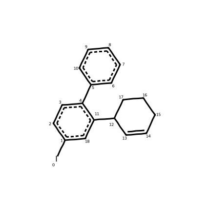 Ic1ccc(-c2ccccc2)c(C2C=CCCC2)c1